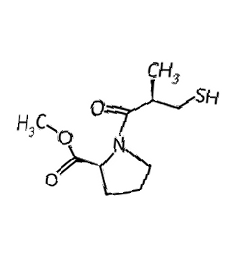 COC(=O)[C@@H]1CCCN1C(=O)[C@@H](C)CS